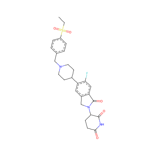 CCS(=O)(=O)c1ccc(CN2CCC(c3cc4c(cc3F)C(=O)N(C3CCC(=O)NC3=O)C4)CC2)cc1